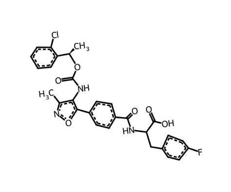 Cc1noc(-c2ccc(C(=O)NC(Cc3ccc(F)cc3)C(=O)O)cc2)c1NC(=O)O[C@H](C)c1ccccc1Cl